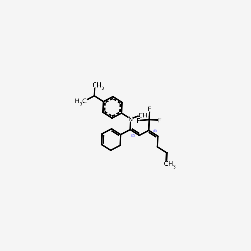 CCC/C=C(\C=C(\C1=CC=CCC1)N(C)c1ccc(C(C)C)cc1)C(F)(F)F